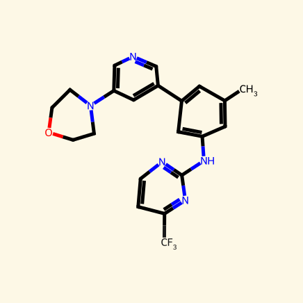 Cc1cc(Nc2nccc(C(F)(F)F)n2)cc(-c2cncc(N3CCOCC3)c2)c1